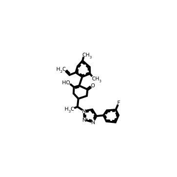 C=Cc1cc(C)cc(C)c1C1=C(O)CC(C(C)n2cc(-c3cccc(F)c3)nn2)CC1=O